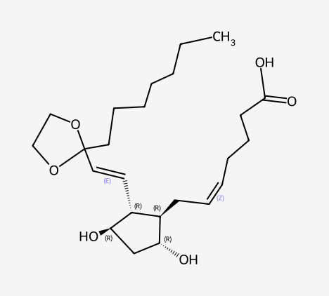 CCCCCCCC1(/C=C/[C@@H]2[C@@H](C/C=C\CCCC(=O)O)[C@H](O)C[C@H]2O)OCCO1